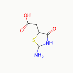 NC1NC(=O)C(CC(=O)O)S1